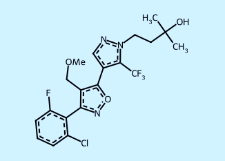 COCc1c(-c2c(F)cccc2Cl)noc1-c1cnn(CCC(C)(C)O)c1C(F)(F)F